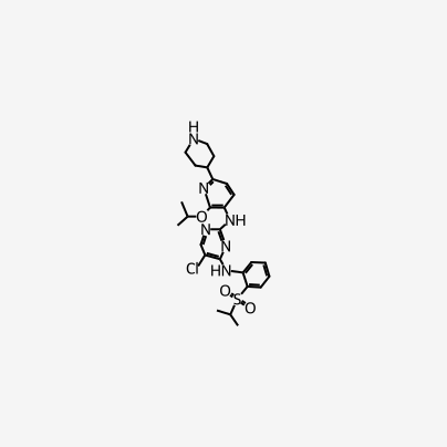 CC(C)Oc1nc(C2CCNCC2)ccc1Nc1ncc(Cl)c(Nc2ccccc2S(=O)(=O)C(C)C)n1